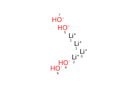 [Li+].[Li+].[Li+].[Li+].[OH-].[OH-].[OH-].[OH-]